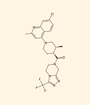 Cc1cc(N2CC[C@H](C(=O)N3CCn4c(nnc4C(F)(F)F)C3)[C@H](C)C2)c2ccc(Cl)cc2n1